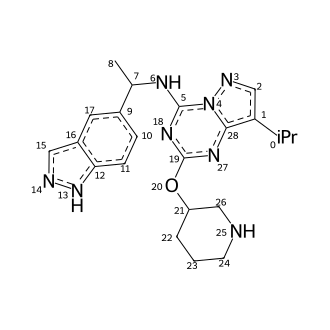 CC(C)c1cnn2c(NC(C)c3ccc4[nH]ncc4c3)nc(OC3CCCNC3)nc12